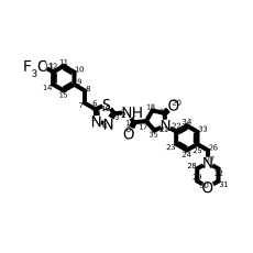 O=C(Nc1nnc(CCc2ccc(C(F)(F)F)cc2)s1)C1CC(=O)N(c2ccc(CN3CCOCC3)cc2)C1